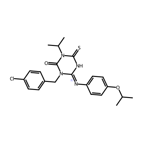 CC(C)Oc1ccc(/N=c2\[nH]c(=S)n(C(C)C)c(=O)n2Cc2ccc(Cl)cc2)cc1